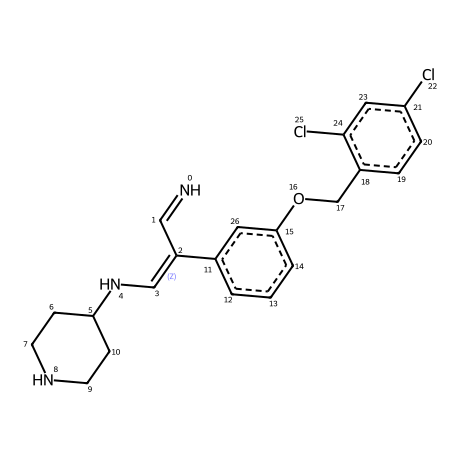 N=C/C(=C\NC1CCNCC1)c1cccc(OCc2ccc(Cl)cc2Cl)c1